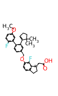 COc1ccc(F)c(-c2ccc(COc3ccc4c(c3F)[C@@H](CC(=O)O)CC4)cc2C2=CCCC2(C)C)c1